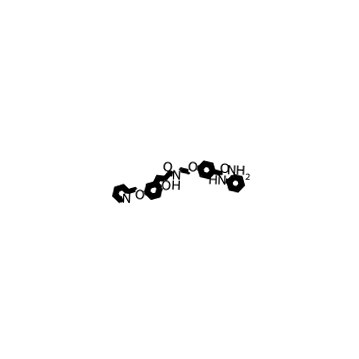 Nc1ccccc1NC(=O)c1ccc(OCCNC(=O)c2cc3cc(OCc4ccccn4)ccc3o2)cc1